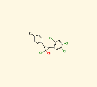 CCc1ccc(C2C(c3cc(Cl)c(Cl)cc3Cl)C2(O)Cl)cc1